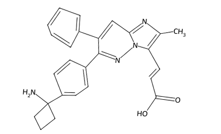 Cc1nc2cc(-c3ccccc3)c(-c3ccc(C4(N)CCC4)cc3)nn2c1C=CC(=O)O